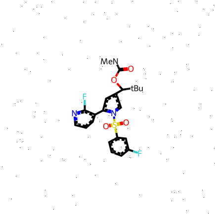 CNC(=O)OC(c1cc(-c2cccnc2F)n(S(=O)(=O)c2cccc(F)c2)c1)C(C)(C)C